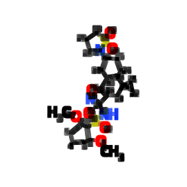 COc1cccc(OC)c1S(=O)(=O)Nc1noc2c1CC1(CC1)c1ccc(N3CCCS3(=O)=O)cc1-2